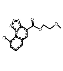 COCCOC(=O)c1cc2cccc(Cl)c2n2nnnc12